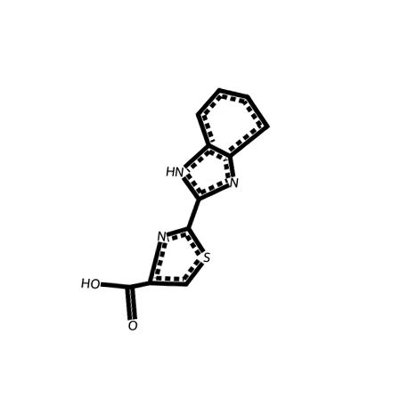 O=C(O)c1csc(-c2nc3ccccc3[nH]2)n1